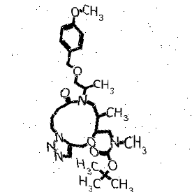 COc1ccc(COCC(C)N2CC(C)C(CN(C)C(=O)OC(C)(C)C)OCc3cnnn3CCCC2=O)cc1